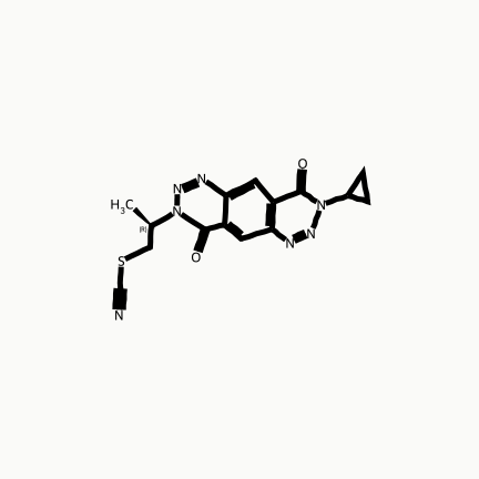 C[C@H](CSC#N)n1nnc2cc3c(=O)n(C4CC4)nnc3cc2c1=O